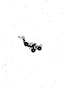 COCCOc1ccc(CCC(=O)C2=C(O)C(=O)N(c3nc4c(Cl)cccc4s3)C2c2ccccc2F)cc1